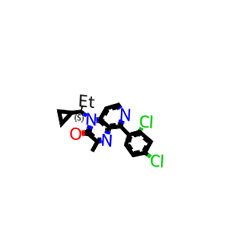 CC[C@@H](C1CC1)n1c(=O)c(C)nc2c(-c3ccc(Cl)cc3Cl)nccc21